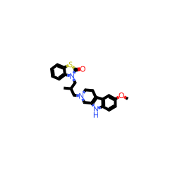 COc1ccc2[nH]c3c(c2c1)CCN(CC(C)Cn1c(=O)sc2ccccc21)C3